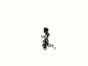 C[C@@H]1C[C@]2(CC[C@@H](NCc3ccc4c(c3)Cn3nnnc3-4)CC2)C(=O)N1C1=CC(=O)OC1